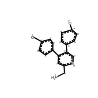 NCc1cc(-c2ccc(Cl)cc2)c(-c2ccc(Cl)cc2)cn1